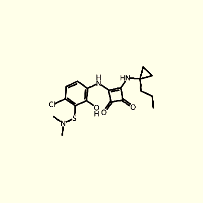 CCCC1(Nc2c(Nc3ccc(Cl)c(SN(C)C)c3O)c(=O)c2=O)CC1